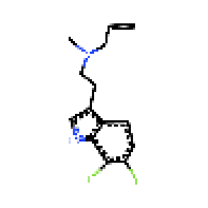 C=CCN(C)CCc1c[nH]c2c(F)c(F)ccc12